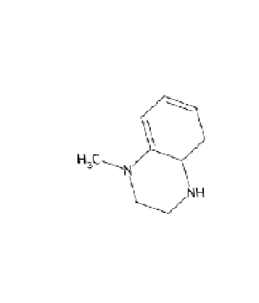 CN1CCNC2CC=CC=C21